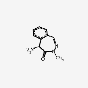 CN1N=Cc2ccccc2[C@H](N)C1=O